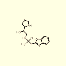 CC(C)(Cc1nc2ccccc2s1)NCC(O)C1CSCN1